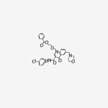 O=C(OCCOCn1cc(C(=O)NCc2ccc(Cl)cc2)c(=O)c2cc(CN3CCOCC3)ccc21)c1ccccc1